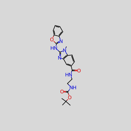 Cn1c(Nc2nc3ccccc3o2)nc2cc(C(=O)NCCNC(=O)OC(C)(C)C)ccc21